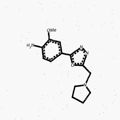 COc1cc(-c2nnc(CN3CCCC3)o2)ccc1N